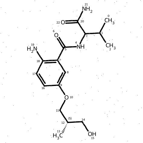 CC(C)C(NC(=O)c1cc(OC[C@@H](C)CO)ccc1N)C(N)=O